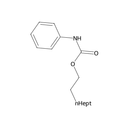 CCCCCCCCCOC(=O)Nc1ccccc1